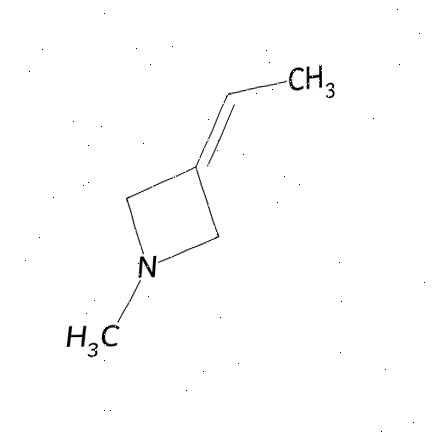 CC=C1CN(C)C1